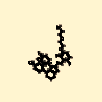 Cc1cc(C2CCCc3nc(SCc4c(F)ccc(OCCOCCBr)c4F)n(-c4ccc(F)cc4)c32)ccc1Cl